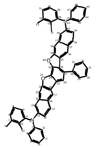 Cc1cccc(N(c2ccccc2)c2ccc3cc4c(cc3c2)oc2c4cc(-c3ccccc3)c3c4cc5ccc(N(c6ccccc6)c6cccc(C)c6C)cc5cc4oc23)c1C